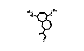 C=C(C=S)C1CC=CC2=C(OCCCC)C=CC(NCCCC)CC2C1